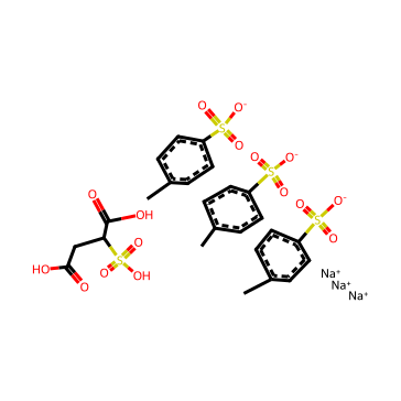 Cc1ccc(S(=O)(=O)[O-])cc1.Cc1ccc(S(=O)(=O)[O-])cc1.Cc1ccc(S(=O)(=O)[O-])cc1.O=C(O)CC(C(=O)O)S(=O)(=O)O.[Na+].[Na+].[Na+]